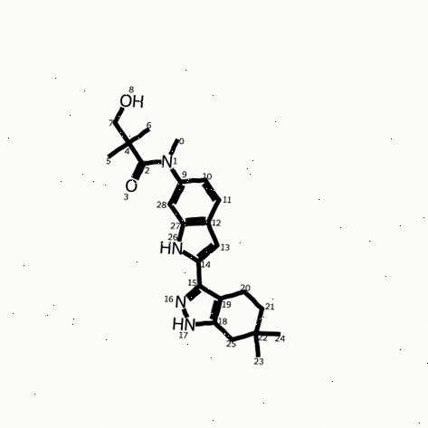 CN(C(=O)C(C)(C)CO)c1ccc2cc(-c3n[nH]c4c3CCC(C)(C)C4)[nH]c2c1